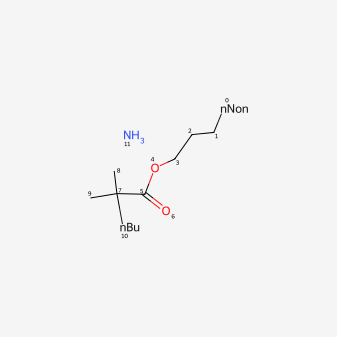 CCCCCCCCCCCCOC(=O)C(C)(C)CCCC.N